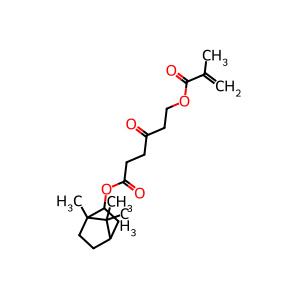 C=C(C)C(=O)OCCC(=O)CCC(=O)OC1CC2CCC1(C)C2(C)C